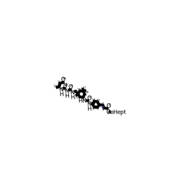 CCCCCCCOC(=O)/C=C/c1ccc(NC(=O)NC2CC(C)(C)CC(C)(CNC(=O)Nc3nc(=O)cc(C)[nH]3)C2)cc1